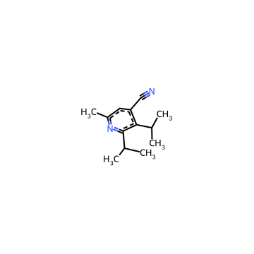 Cc1cc(C#N)c(C(C)C)c(C(C)C)n1